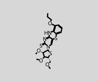 CCCOc1cccc2c1Nc1nc(=S)n([C@@H]3S[C@H](COC)C(OC)[C@@H]3OC)cc1S2